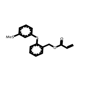 C=CC(=O)OCc1ccccc1Sc1cccc(SC)c1